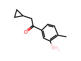 Bc1cc(C(=O)CC2CC2)ccc1C